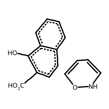 C1=CNOC=C1.O=C(O)c1ccc2ccccc2c1O